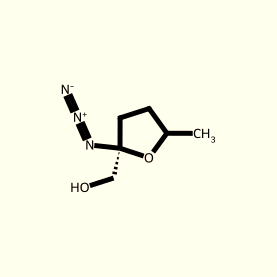 CC1CC[C@](CO)(N=[N+]=[N-])O1